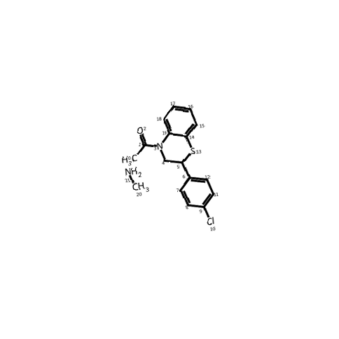 CC(=O)N1CC(c2ccc(Cl)cc2)Sc2ccccc21.CN